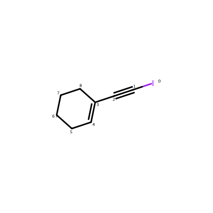 IC#CC1=CC[CH]CC1